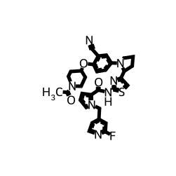 CC(=O)N1CCC(Oc2ccc(N3CCCC3c3csc(NC(=O)c4cccn4Cc4ccnc(F)c4)n3)cc2C#N)CC1